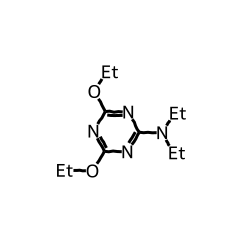 CCOc1nc(OCC)nc(N(CC)CC)n1